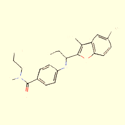 COc1ccc2oc(C(CC(C)C)Nc3ccc(C(=O)N(C)CCC(=O)O)cc3)c(C)c2c1